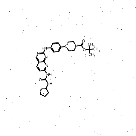 CC(C)(C)OC(=O)N1CCN(c2ccc(Nc3ncc4ccc(NC(=O)NC5CCCC5)nc4n3)cc2)CC1